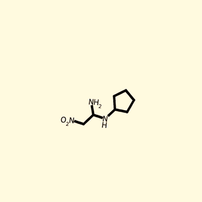 NC(C[N+](=O)[O-])NC1CCCC1